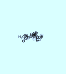 CCc1c(N2CCN(C(=O)c3ncnc(C)c3OCc3ccccc3)CC2)c(=O)n2nc(Br)nc2n1CC(=O)Nc1ccc(C(F)(F)F)cc1Cl